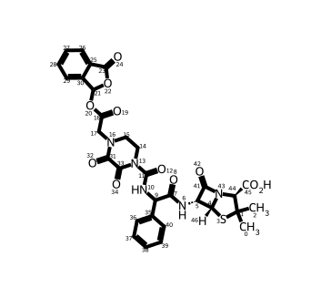 CC1(C)S[C@@H]2[C@H](NC(=O)C(NC(=O)N3CCN(CC(=O)OC4OC(=O)c5ccccc54)C(=O)C3=O)c3ccccc3)C(=O)N2[C@H]1C(=O)O